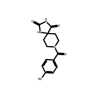 N#Cc1ccc(C(=O)N2CCC3(CC2)NC(=O)NC3=O)cc1